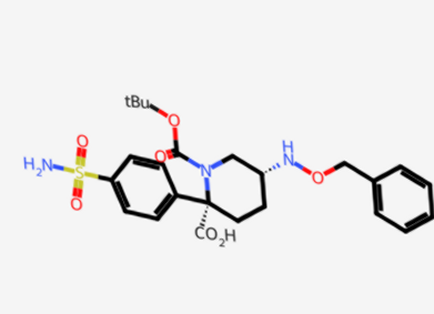 CC(C)(C)OC(=O)N1C[C@H](NOCc2ccccc2)CC[C@@]1(C(=O)O)c1ccc(S(N)(=O)=O)cc1